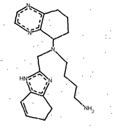 NCCCCN(Cc1nc2c([nH]1)C=CCC2)C1CCCc2nccnc21